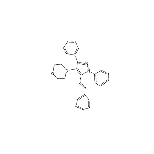 C(=C\c1c(N2CCOCC2)c(-c2ccccc2)nn1-c1ccccc1)/c1ccccc1